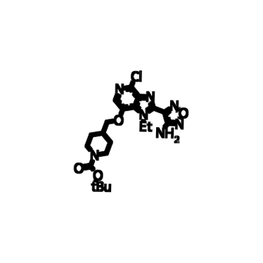 CCn1c(-c2nonc2N)nc2c(Cl)ncc(OCC3CCN(C(=O)OC(C)(C)C)CC3)c21